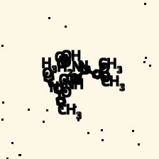 COc1ccc(-c2cnc(N)c(-c3ccc(NC(=O)c4cn(CC5CCOCC5)cc(-c5ccc(C)cc5)c4=O)cn3)c2)cc1OC.CS(=O)(=O)O